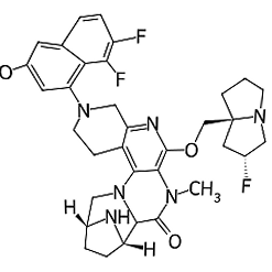 CN1C(=O)C2[C@@H]3CC[C@H](CN2c2c4c(nc(OC[C@@]56CCCN5C[C@H](F)C6)c21)CN(c1cc(O)cc2ccc(F)c(F)c12)CC4)N3